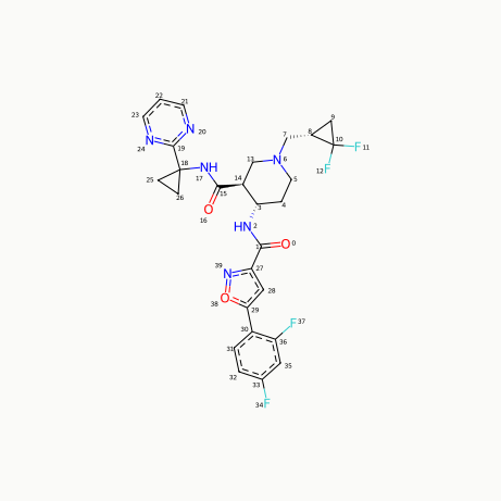 O=C(N[C@H]1CCN(C[C@@H]2CC2(F)F)C[C@@H]1C(=O)NC1(c2ncccn2)CC1)c1cc(-c2ccc(F)cc2F)on1